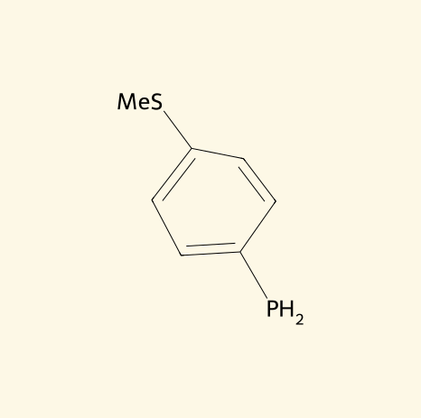 CSc1ccc(P)cc1